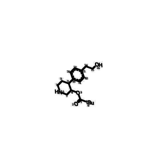 CC(C)(C)C(=O)OC1CNCCC1c1ccc(CCO)cc1